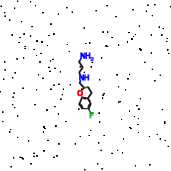 NCCCNCC1CCc2cc(F)ccc2O1